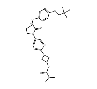 CN(C)C(=O)OC1CN(c2ncc(N3CC[C@@H](Oc4ccc(OCC(F)(F)F)nc4)C3=O)cn2)C1